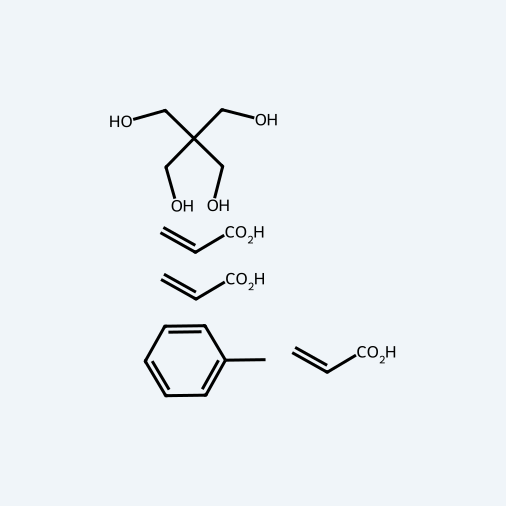 C=CC(=O)O.C=CC(=O)O.C=CC(=O)O.Cc1ccccc1.OCC(CO)(CO)CO